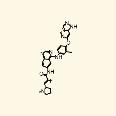 Cc1cc(Nc2ncnc3ccc(NC(=O)/C(F)=C/[C@H]4CCCN4C)cc23)ccc1OC1=CC2NN=CN2C=N1